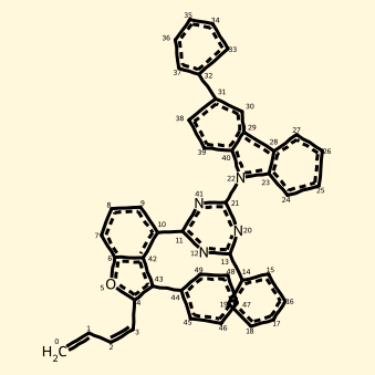 C=C/C=C\c1oc2cccc(-c3nc(-c4ccccc4)nc(-n4c5ccccc5c5cc(-c6ccccc6)ccc54)n3)c2c1-c1ccccc1